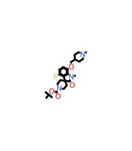 CN1CCC(COc2ccc(F)c3c2N(C)C(=O)C32CCN(C(=O)OC(C)(C)C)CC2)CC1